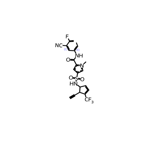 C#CC1C(C(F)(F)F)=C=CC1NS(=O)(=O)c1cc(C(=O)NC(/C=C(/C#N)C(=C)F)=C/C)n(C)c1